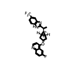 CC(c1nc2cc(C(F)(F)F)ccc2[nH]1)[C@H]1[C@@H]2C[C@@H](Oc3ccnc4ccc(F)cc34)C[C@@H]21